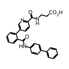 O=C(O)CCNC(=O)c1ccc(-c2ccccc2C(=O)Nc2ccc(-c3ccccc3)cc2)cn1